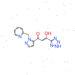 O=C(C=C(O)c1nn[nH]n1)c1ccnn1Cc1ccccn1